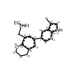 CCN(CC)Cc1cc(-c2cnc3[nH]cc(C)c3c2)cc2c1OCCC2